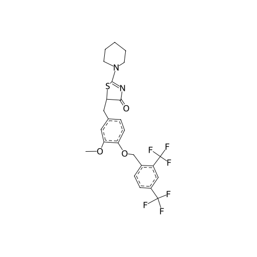 COc1cc(CC2SC(N3CCCCC3)=NC2=O)ccc1OCc1ccc(C(F)(F)F)cc1C(F)(F)F